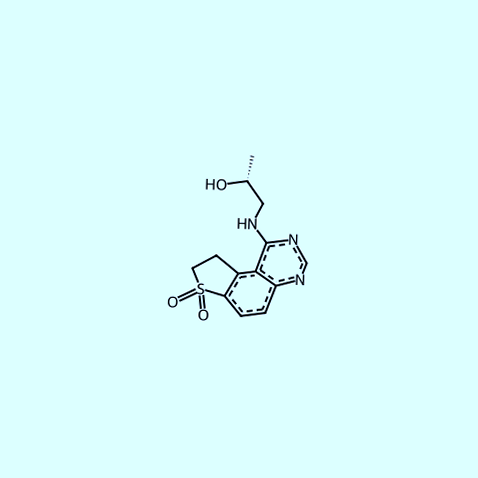 C[C@@H](O)CNc1ncnc2ccc3c(c12)CCS3(=O)=O